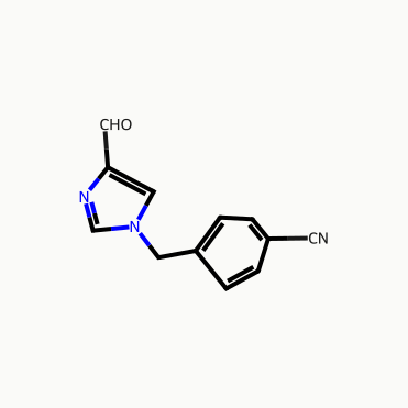 N#Cc1ccc(Cn2cnc(C=O)c2)cc1